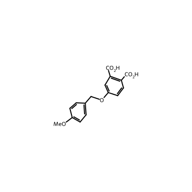 COc1ccc(COc2ccc(C(=O)O)c(C(=O)O)c2)cc1